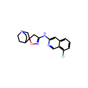 Clc1cccc2cc(NC3=NOC4(C3)CN3CCC4CC3)ncc12